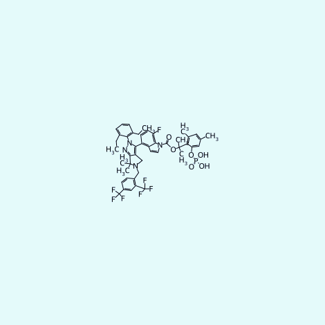 CCc1cccc(CC)c1-n1nc2c(c1-c1ccc(F)c3c1ccn3C(=O)OC(C)(C)c1c(C)cc(C)cc1OP(=O)(O)O)CN(Cc1ccc(C(F)(F)F)cc1C(F)(F)F)C2(C)C